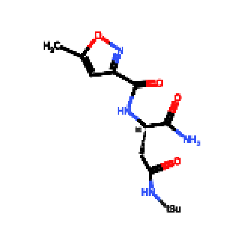 Cc1cc(C(=O)N[C@@H](CC(=O)NC(C)(C)C)C(N)=O)no1